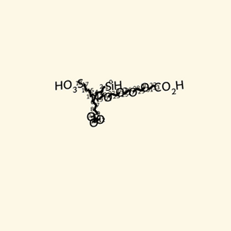 C[SiH2]CCC[N+](CCCCS(=O)(=O)[O-])(CCCCS(=O)(=O)O)CCOCCOCCOCCOCCC(=O)O